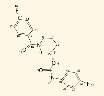 CN(C(=O)O[C@H]1CCCN(C(=O)c2ccc(F)cc2)C1)c1ccc(F)cc1